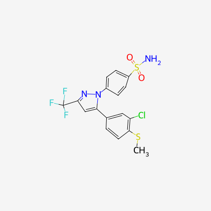 CSc1ccc(-c2cc(C(F)(F)F)nn2-c2ccc(S(N)(=O)=O)cc2)cc1Cl